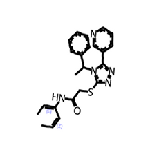 C/C=C\C(=C/C)NC(=O)CSc1nnc(-c2cccnc2)n1C(C)c1ccccc1